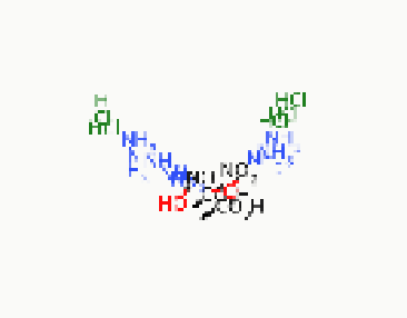 CC(=O)O.CC(=O)O.Cl.Cl.Cl.Cl.Cl.N.N.N.N.N.N.N.N.O=[N+]([O-])O.O=[N+]([O-])O